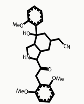 COc1ccccc1C1(O)CC(CC#N)CC2C(C(=O)Cc3c(OC)cccc3OC)NCC21